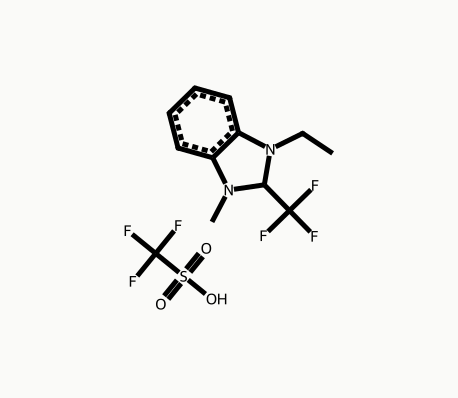 CCN1c2ccccc2N(C)C1C(F)(F)F.O=S(=O)(O)C(F)(F)F